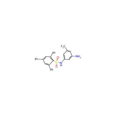 CC(C)c1cc(C(C)C)c(S(=O)(=O)Nc2cc(N)cc(C(F)(F)F)c2)c(C(C)C)c1